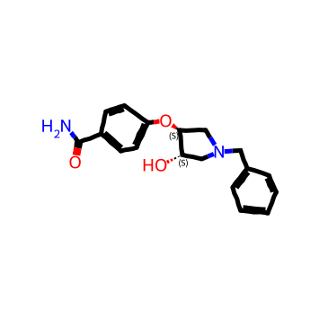 NC(=O)c1ccc(O[C@H]2CN(Cc3ccccc3)C[C@@H]2O)cc1